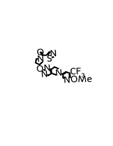 COc1ncc(N2CCc3nc(OC4CCN(C(=O)c5cncs5)C4)ncc3C2)cc1C(F)(F)F